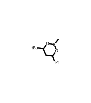 CB1OC(C(C)C)CC(C(C)(C)C)O1